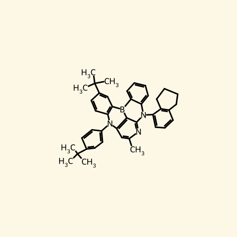 Cc1cc2c3c(n1)N(c1cccc4c1CCCC4)c1ccccc1B3c1cc(C(C)(C)C)ccc1N2c1ccc(C(C)(C)C)cc1